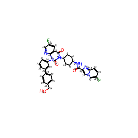 O=C(NC1CCC(n2c(=O)c3cc(F)cnc3n(-c3cccc(-c4ccc(CO)cc4)c3)c2=O)CC1)c1cn2cc(F)ccc2n1